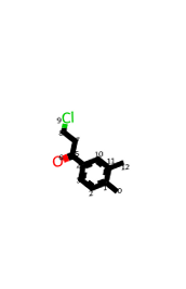 Cc1ccc(C(=O)CCCl)cc1C